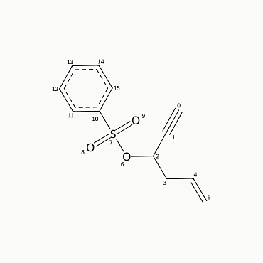 C#CC(CC=C)OS(=O)(=O)c1ccccc1